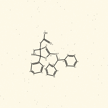 O=C(O)CC12CNC1(c1ccccc1)OC(OC(c1ccccc1)c1ccccc1)=N2